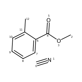 C#N.COC(=O)c1ccccc1C